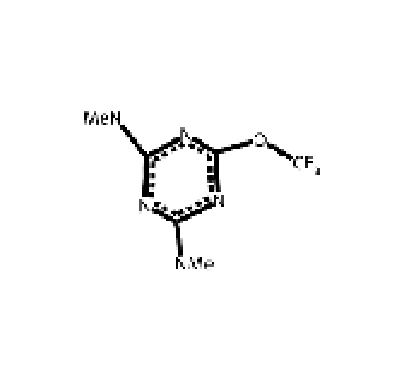 CNc1nc(NC)nc(OC(F)(F)F)n1